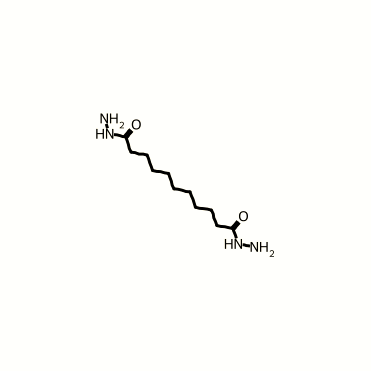 NNC(=O)CCCCCCCCCC(=O)NN